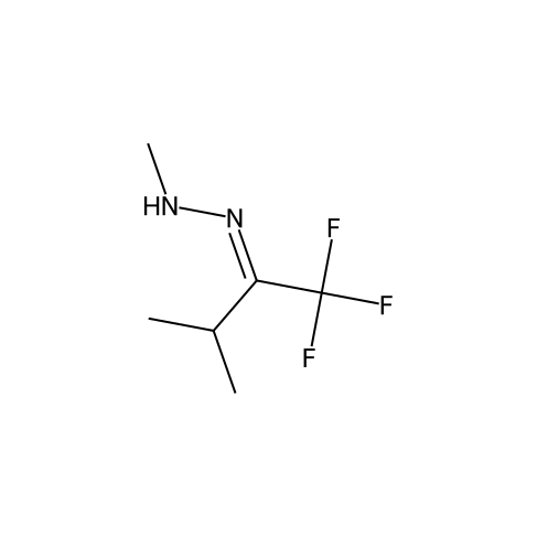 CN/N=C(\C(C)C)C(F)(F)F